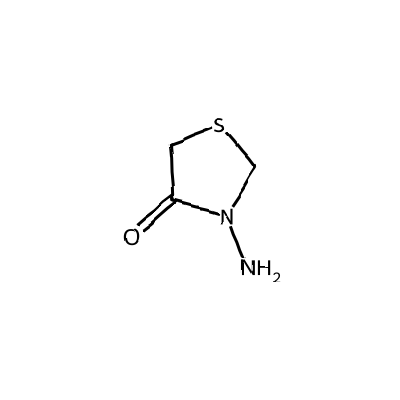 NN1CSCC1=O